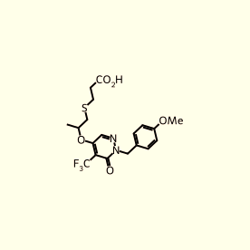 COc1ccc(Cn2ncc(OC(C)CSCCC(=O)O)c(C(F)(F)F)c2=O)cc1